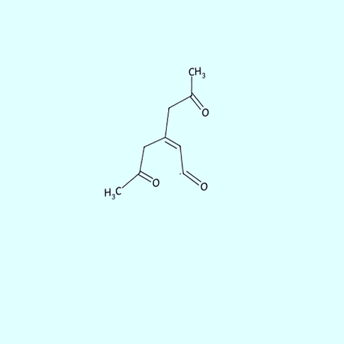 CC(=O)CC(=C[C]=O)CC(C)=O